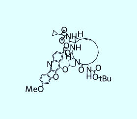 COc1ccc2c(c1)oc1c(O[C@@H]3C[C@H]4C(=O)N[C@]5(C(=O)NS(=O)(=O)C6CC6)C[C@H]5/C=C\CCCCC[C@H](NC(=O)OC(C)(C)C)C(=O)N4C3)c3cc(F)ccc3nc12